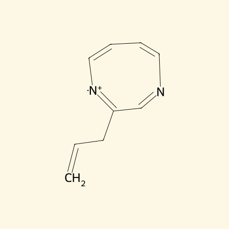 C=CCC1=[N+]/C=C\C=C/N=C\1